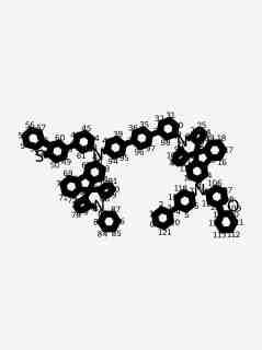 c1ccc(-c2ccc(N(c3ccc4c(c3)-c3ccccc3C43c4ccccc4N(c4cccc(-c5ccc(-c6ccc(N(c7cccc(-c8ccc9sc%10ccccc%10c9c8)c7)c7ccc8c(c7)-c7ccccc7C87c8ccccc8N(c8ccccc8)c8ccccc87)cc6)cc5)c4)c4ccccc43)c3ccc4oc5ccccc5c4c3)cc2)cc1